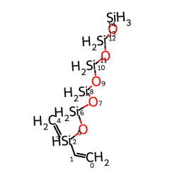 C=C[SiH](C=C)O[SiH2]O[SiH2]O[SiH2]O[SiH2]O[SiH3]